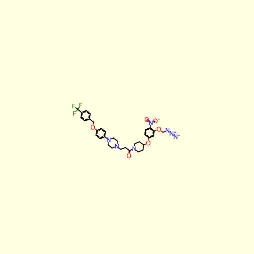 [N-]=[N+]=NCOc1cc(OC2CCN(C(=O)CCN3CCN(c4ccc(OCc5ccc(C(F)(F)F)cc5)cc4)CC3)CC2)ccc1[N+](=O)[O-]